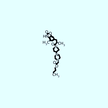 CCCCOC(=O)CN1CCN(C2CCN(C(=O)[C@H](C)Cc3cc(C)c4[nH]c(=O)oc4c3)CC2)CC1